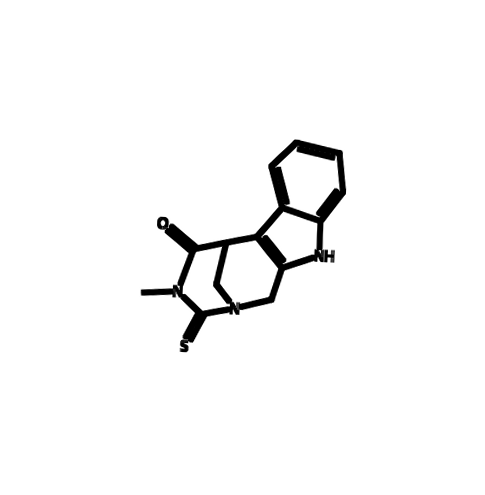 CN1C(=O)C2CN(Cc3[nH]c4ccccc4c32)C1=S